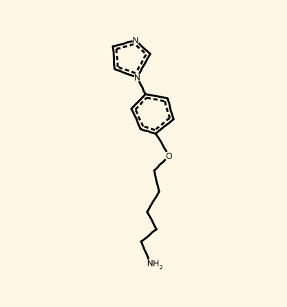 NCCCCCOc1ccc(-n2ccnc2)cc1